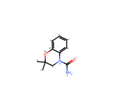 CC1(C)CN(C(N)=O)c2ccccc2O1